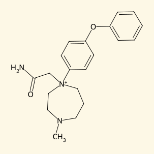 CN1CCC[N+](CC(N)=O)(c2ccc(Oc3ccccc3)cc2)CC1